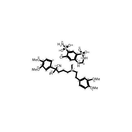 COc1ccc(CCN(C)CCCC(C#N)(c2ccc(OC)c(OC)c2)C(C)C)cc1OC.NS(=O)(=O)c1cc2c(cc1Cl)NCNS2(=O)=O